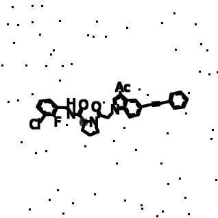 CC(=O)c1cn(CC(=O)N2CCC[C@H]2C(=O)NCc2cccc(Cl)c2F)c2ccc(C#Cc3ccccc3)cc12